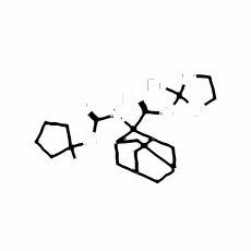 CCC1(OC(=O)NC2(C(=O)OC3(CC)OCCO3)C3CC4CC(C3)CC2C4)CCCC1